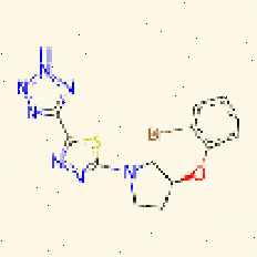 Brc1ccccc1O[C@H]1CCN(c2nnc(-c3nn[nH]n3)s2)C1